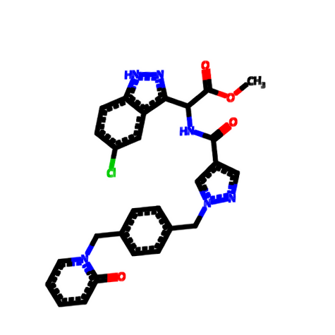 COC(=O)C(NC(=O)c1cnn(Cc2ccc(Cn3ccccc3=O)cc2)c1)c1n[nH]c2ccc(Cl)cc12